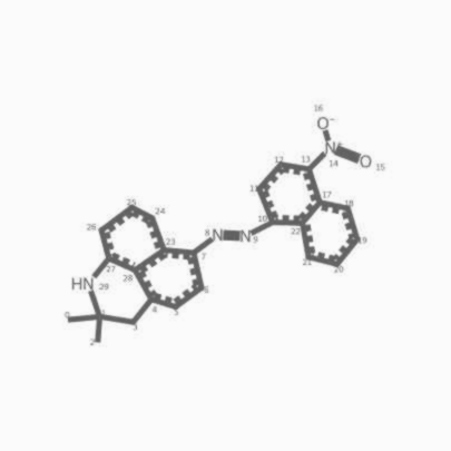 CC1(C)Cc2ccc(N=Nc3ccc([N+](=O)[O-])c4ccccc34)c3cccc(c23)N1